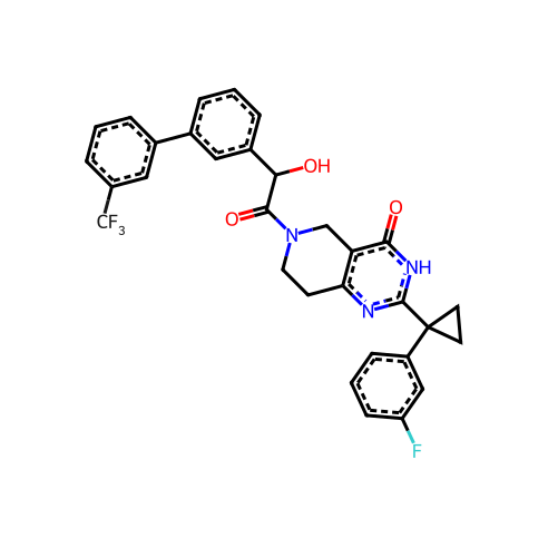 O=C(C(O)c1cccc(-c2cccc(C(F)(F)F)c2)c1)N1CCc2nc(C3(c4cccc(F)c4)CC3)[nH]c(=O)c2C1